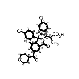 CO[C@]1(c2ccc(Cl)cc2)c2c(F)cc(C(=O)C3CCOCC3)cc2C(=O)N1[C@H](c1ccc(Cl)cc1)[C@H](C)C(=O)O